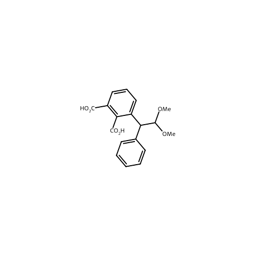 COC(OC)C(c1ccccc1)c1cccc(C(=O)O)c1C(=O)O